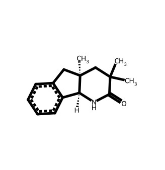 CC1(C)C[C@]2(C)Cc3ccccc3[C@@H]2NC1=O